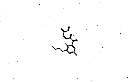 C=CC(=C)/C=C\C(=C)C(=C)c1cc(C)cc(CCCC)c1I